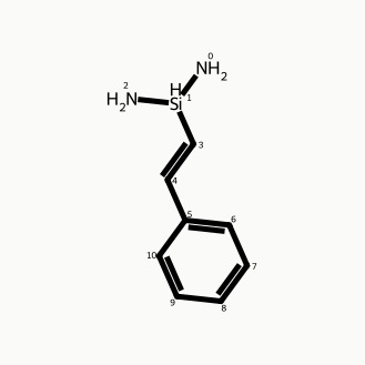 N[SiH](N)C=Cc1ccccc1